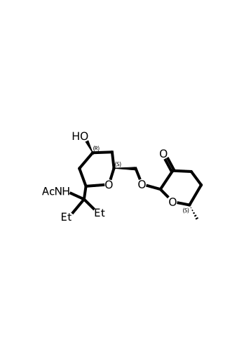 CCC(CC)(NC(C)=O)C1C[C@@H](O)C[C@@H](COC2O[C@@H](C)CCC2=O)O1